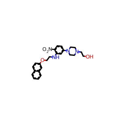 O=[N+]([O-])c1ccc(N2CCN(CCO)CC2)cc1NCCOc1ccc2ccccc2c1